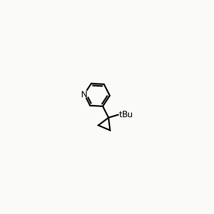 CC(C)(C)C1(c2cccnc2)CC1